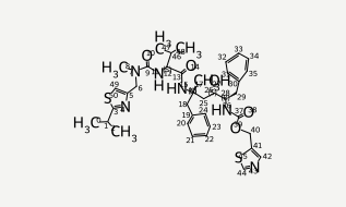 CC(C)c1nc(CN(C)C(=O)N[C@H](C(=O)N[C@@](C)(Cc2ccccc2)C[C@H](O)[C@@H](Cc2ccccc2)NC(=O)OCc2cncs2)C(C)C)cs1